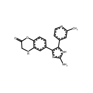 Cc1cc(-c2[nH]c(N)nc2-c2ccc3c(c2)NCC(=O)O3)ccn1